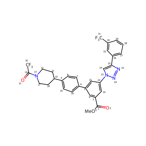 COC(=O)c1cc(-c2ccc(C3CCN(C(=O)C(F)(F)F)CC3)cc2)cc(-n2cc(-c3cccc(C(F)(F)F)c3)nn2)c1